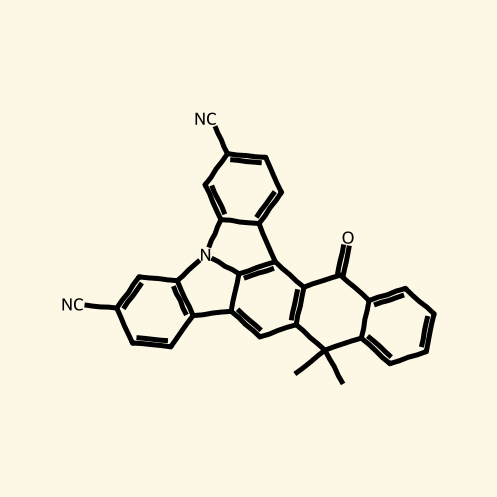 CC1(C)c2ccccc2C(=O)c2c1cc1c3ccc(C#N)cc3n3c4cc(C#N)ccc4c2c13